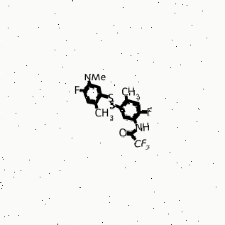 CNc1cc(SSc2cc(NC(=O)C(F)(F)F)c(F)cc2C)c(C)cc1F